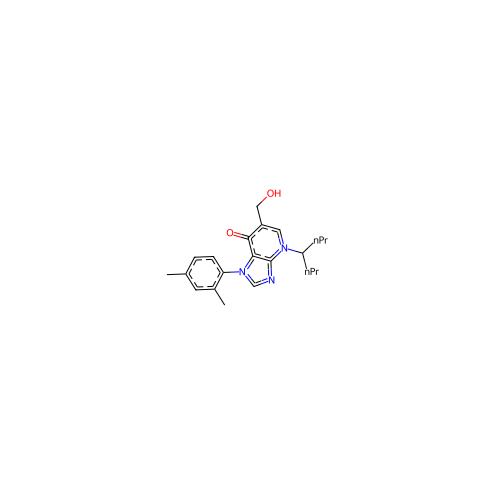 CCCC(CCC)n1cc(CO)c(=O)c2c1ncn2-c1ccc(C)cc1C